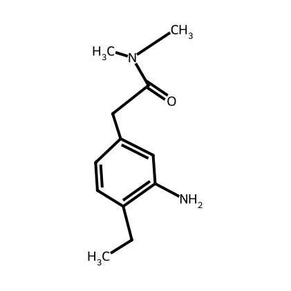 CCc1ccc(CC(=O)N(C)C)cc1N